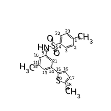 Cc1ccc(S(=O)(=O)Nc2cc(C)cc(-c3ccc(C)s3)c2)cc1